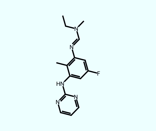 CCN(C)C=Nc1cc(F)cc(Nc2ncccn2)c1C